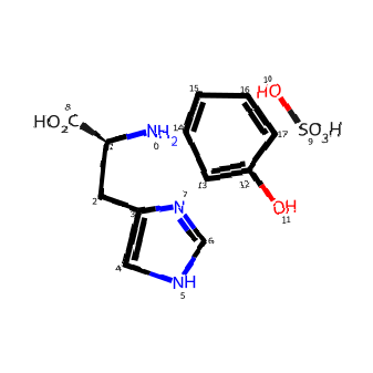 N[C@@H](Cc1c[nH]cn1)C(=O)O.O=S(=O)(O)O.Oc1ccccc1